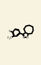 Fc1ccc(C2=NOC3CCCCCCC23)cc1C(F)(F)F